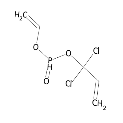 C=CO[PH](=O)OC(Cl)(Cl)C=C